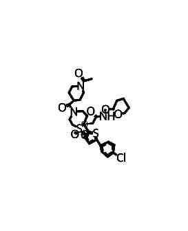 CC(=O)N1CCC(C(=O)N2CC[C@](CC(=O)NOC3CCCCO3)(c3ccc(-c4ccc(Cl)cc4)s3)S(=O)(=O)CC2)CC1